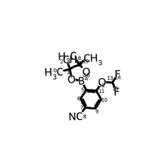 CC1(C)OB(c2cc(C#N)ccc2OC(F)F)OC1(C)C